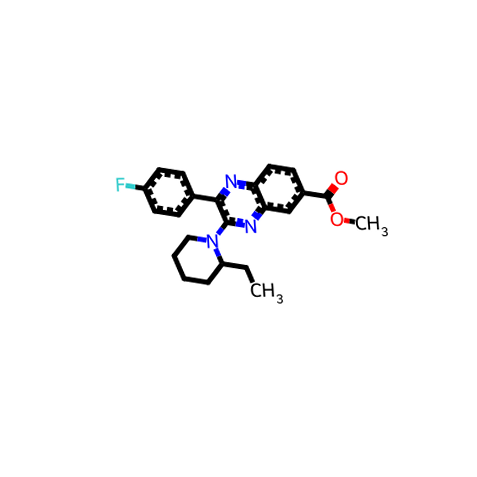 CCC1CCCCN1c1nc2cc(C(=O)OC)ccc2nc1-c1ccc(F)cc1